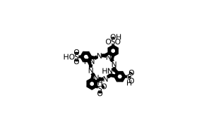 O=[SH](=O)c1ccc2c3nc4nc(nc5[nH]c(nc6nc(nc([nH]3)c2c1)-c1ccc(S(=O)(=O)O)cc1-6)c1ccc(S(=O)(=O)O)cc51)-c1cccc([SH](=O)=O)c1-4